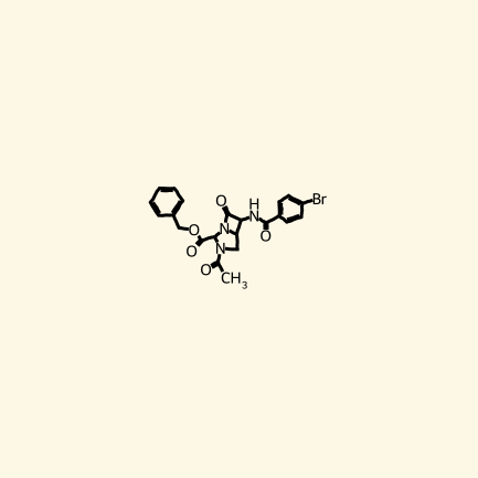 CC(=O)N1CC2C(NC(=O)c3ccc(Br)cc3)C(=O)N2C1C(=O)OCc1ccccc1